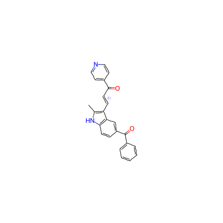 Cc1[nH]c2ccc(C(=O)c3ccccc3)cc2c1/C=C/C(=O)c1ccncc1